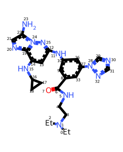 CCN(CC)CCNC(=O)c1cc(Nc2cc(NC3CC3)c3ncc(N)n3n2)cc(-n2cncn2)c1